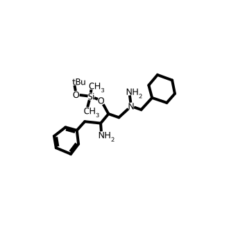 CC(C)(C)O[Si](C)(C)OC(CN(N)CC1CCCCC1)C(N)Cc1ccccc1